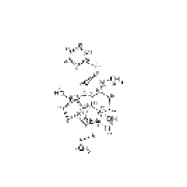 C=CCN1CC[C@]23c4c5ccc(O)c4OC2C(N(C)C(=O)Cc2ccccc2)CC[C@@]3(O)[C@H]1C5